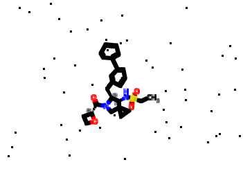 CCS(=O)(=O)N[C@@H]1[C@H](Cc2cccc(-c3ccccc3)c2)N(C(=O)[C@H]2CCO2)CC12CC2